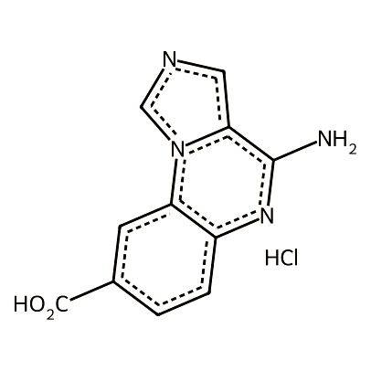 Cl.Nc1nc2ccc(C(=O)O)cc2n2cncc12